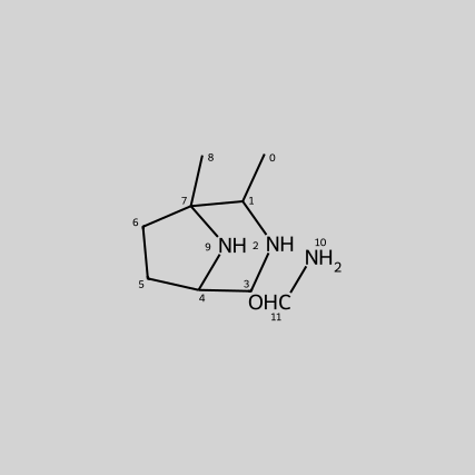 CC1NCC2CCC1(C)N2.NC=O